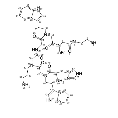 CCCN(CC(=O)NCCS)C(=O)CN(CCc1c[nH]c2ccccc12)C(=O)CNC(=O)CN(CCCN)C(=O)CN(CCc1c[nH]c2ccccc12)C(=O)C(N)Cc1c[nH]cn1